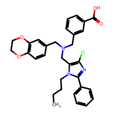 CCCCn1c(-c2ccccc2)nc(Cl)c1CN(Cc1cccc(C(=O)O)c1)Cc1ccc2c(c1)OCCO2